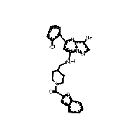 O=C(c1cc2ccccc2s1)N1CCC(CNc2cc(-c3ccccc3Cl)nc3c(Br)cnn23)CC1